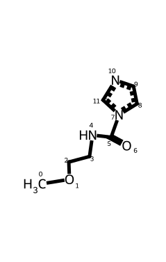 COCCNC(=O)n1ccnc1